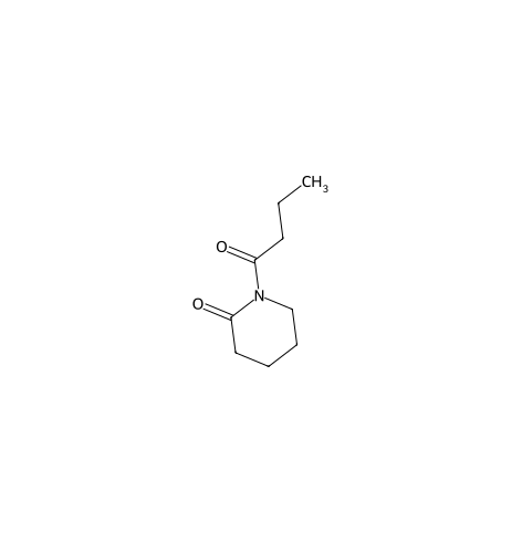 CCCC(=O)N1CCCCC1=O